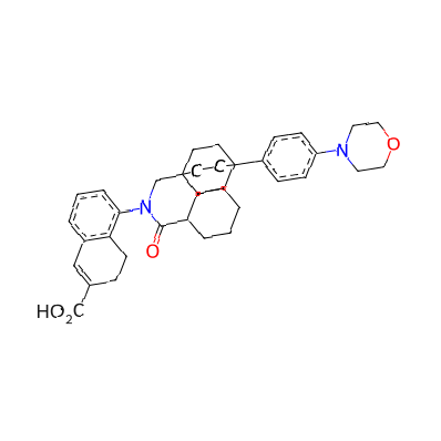 O=C(O)C1=Cc2cccc(N(CC34CCC(c5ccc(N6CCOCC6)cc5)(CC3)CC4)C(=O)C3CCCCC3)c2CC1